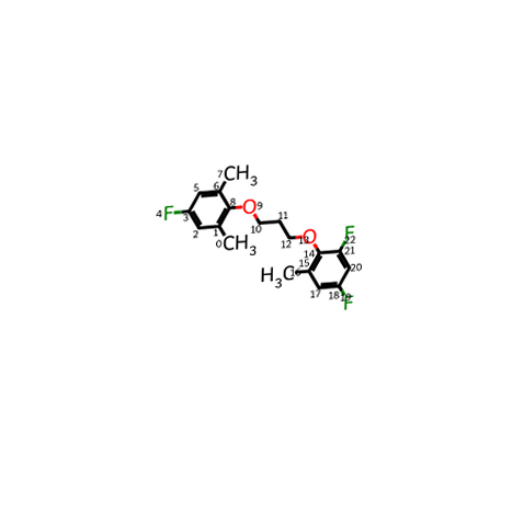 Cc1cc(F)cc(C)c1OCCCOc1c(C)cc(F)cc1F